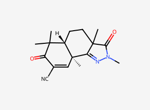 CN1N=C2C(C)(CC[C@H]3C(C)(C)C(=O)C(C#N)=C[C@]23C)C1=O